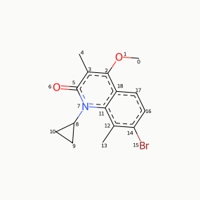 COc1c(C)c(=O)n(C2CC2)c2c(C)c(Br)ccc12